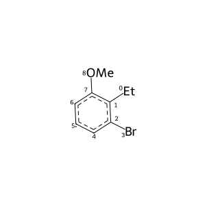 CCc1c(Br)c[c]cc1OC